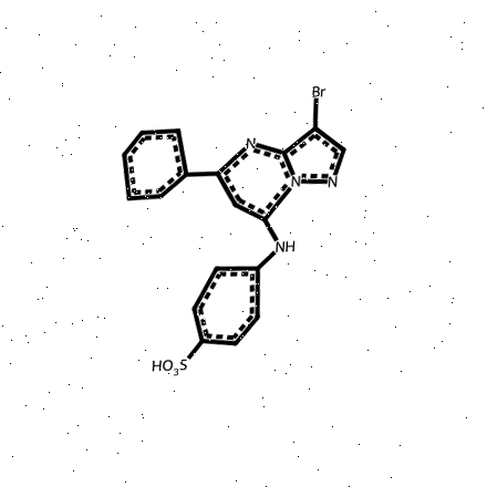 O=S(=O)(O)c1ccc(Nc2cc(-c3ccccc3)nc3c(Br)cnn23)cc1